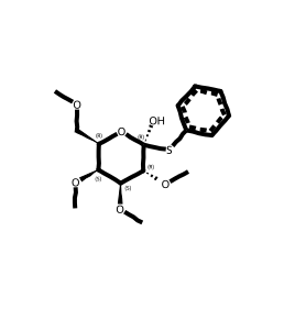 COC[C@H]1O[C@@](O)(Sc2ccccc2)[C@H](OC)[C@@H](OC)[C@H]1OC